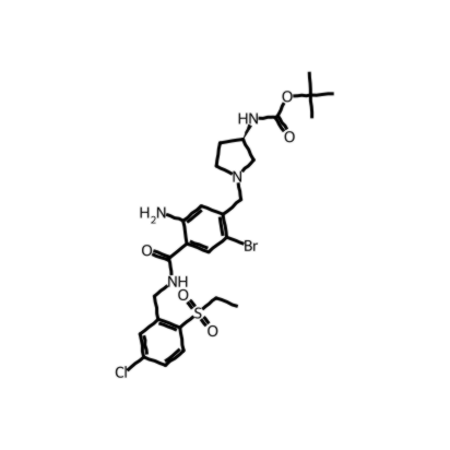 CCS(=O)(=O)c1ccc(Cl)cc1CNC(=O)c1cc(Br)c(CN2CC[C@@H](NC(=O)OC(C)(C)C)C2)cc1N